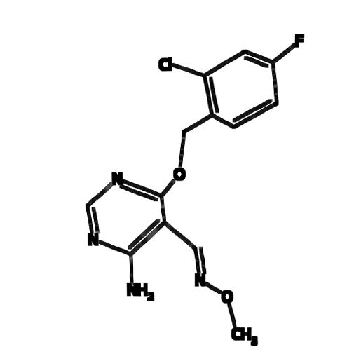 CO/N=C/c1c(N)ncnc1OCc1ccc(F)cc1Cl